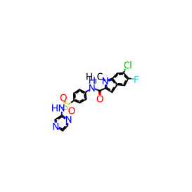 Cn1c(C(=O)Nc2ccc(S(=O)(=O)Nc3cnccn3)cc2)cc2cc(F)c(Cl)cc21